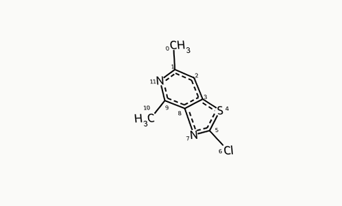 Cc1cc2sc(Cl)nc2c(C)n1